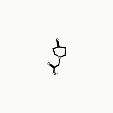 O=C(O)CN1CCC(=O)CC1